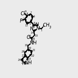 CCn1nc(-c2ccc(Cl)c(F)c2)nc1CC(=O)NCc1ccc2[nH]ncc2c1